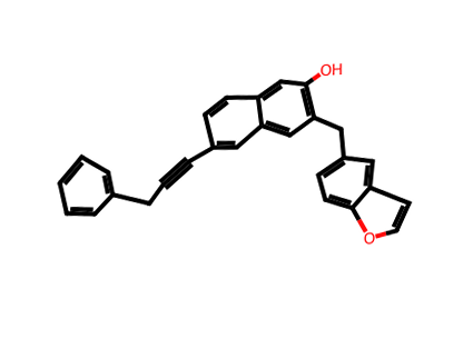 Oc1cc2ccc(C#CCc3ccccc3)cc2cc1Cc1ccc2occc2c1